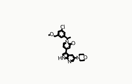 COCc1cc(Cl)cc(C(C)n2ccc(-c3c[nH]c4ncc(N5CCOCC5)cc34)cc2=O)c1